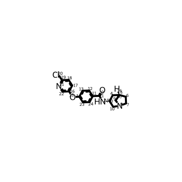 O=C(N[C@@H]1C[C@@H]2CCN(C2)C1)c1ccc(Oc2ccc(Cl)nc2)cc1